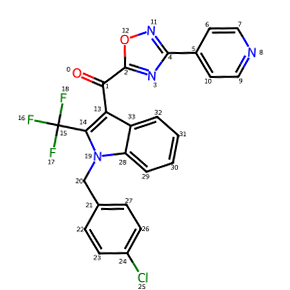 O=C(c1nc(-c2ccncc2)no1)c1c(C(F)(F)F)n(Cc2ccc(Cl)cc2)c2ccccc12